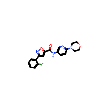 O=C(Nc1ccc(N2CCOCC2)nc1)c1cc(-c2ccccc2Cl)no1